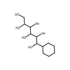 OCC(O)C(O)C(O)C(O)C(O)C1CCCCC1